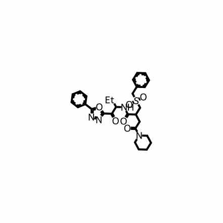 CCC(NC(=O)C(CC(=O)N1CCCCC1)CS(=O)(=O)Cc1ccccc1)C(=O)c1nnc(-c2ccccc2)o1